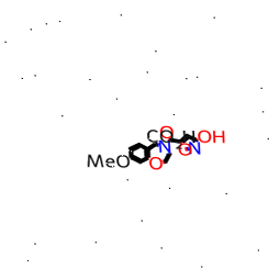 COc1ccc2c(c1)OCCN(C(=O)c1cc(O)no1)C2C(=O)O